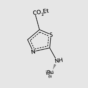 CCOC(=O)c1cnc(N[C@@H](C)CC)s1